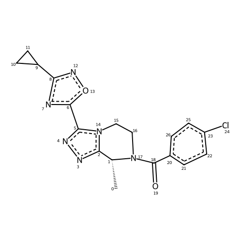 C[C@@H]1c2nnc(-c3nc(C4CC4)no3)n2CCN1C(=O)c1ccc(Cl)cc1